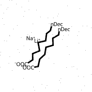 CCCCCCCCCCCCCCCCCC(=O)[O-].CCCCCCCCCCCCCCCCCC(=O)[O-].[Li+].[Na+]